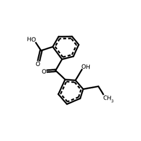 CCc1cccc(C(=O)c2ccccc2C(=O)O)c1O